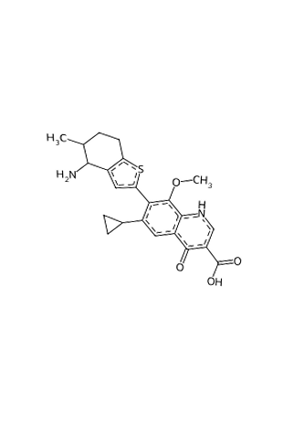 COc1c(-c2cc3c(s2)CCC(C)C3N)c(C2CC2)cc2c(=O)c(C(=O)O)c[nH]c12